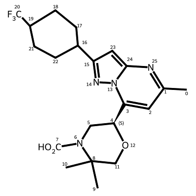 Cc1cc([C@@H]2CN(C(=O)O)C(C)(C)CO2)n2nc(C3CCC(C(F)(F)F)CC3)cc2n1